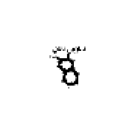 CCCCOc1cc2c[c]ccc2cc1OCCCC